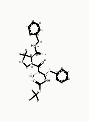 CC(C)(C)OC(=O)N[C@@H](Cc1ccccc1)[C@H](O)C(=O)N1CSC(C)(C)[C@H]1C(=O)NCc1ccccc1